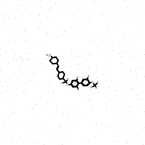 CC1CCC(/C=C/C2CCC(C(F)(F)Oc3cc(F)c(-c4ccc(OC(F)(F)F)c(F)c4)c(F)c3)CC2)CC1